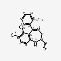 O=CC1CN=C(c2ncccc2F)c2c(ccc(Cl)c2Cl)N1